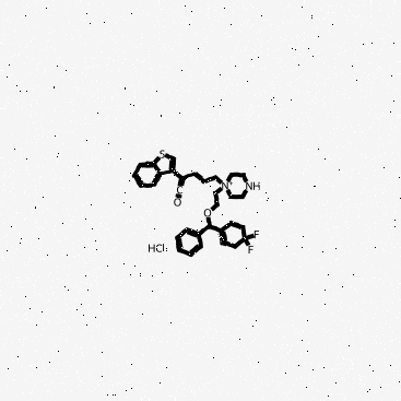 Cl.O=C=C(CCC[N+]1(CCOC(C2=CCC(F)(F)C=C2)c2ccccc2)CCNCC1)c1csc2ccccc12